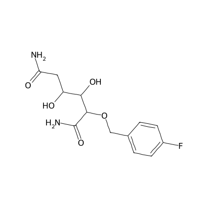 NC(=O)CC(O)C(O)C(OCc1ccc(F)cc1)C(N)=O